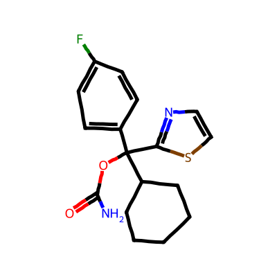 NC(=O)OC(c1ccc(F)cc1)(c1nccs1)C1CCCCC1